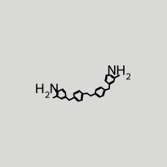 Cc1cc(Cc2ccc(CCc3ccc(Cc4ccc(N)c(C)c4)cc3)cc2)ccc1N